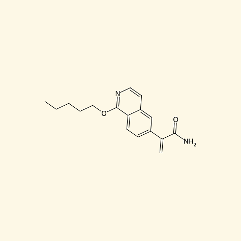 C=C(C(N)=O)c1ccc2c(OCCCCC)nccc2c1